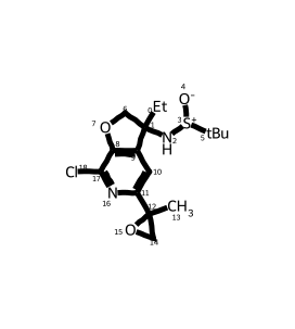 CCC1(N[S+]([O-])C(C)(C)C)COc2c1cc(C1(C)CO1)nc2Cl